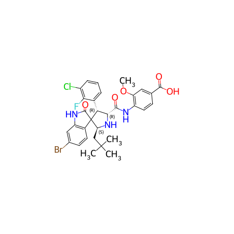 COc1cc(C(=O)O)ccc1NC(=O)[C@@H]1N[C@@H](CC(C)(C)C)C2(C(=O)Nc3cc(Br)ccc32)[C@@H]1c1cccc(Cl)c1F